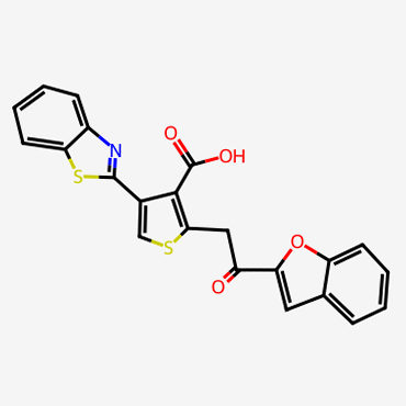 O=C(Cc1scc(-c2nc3ccccc3s2)c1C(=O)O)c1cc2ccccc2o1